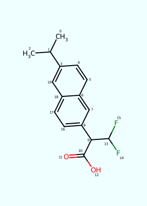 CC(C)c1ccc2cc(C(C(=O)O)C(F)F)ccc2c1